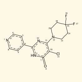 O=c1[nH]c(-c2ccncc2)nc(N2CCC(F)(F)CC2)c1Cl